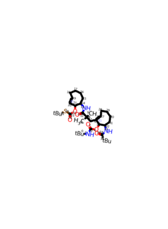 CC(C)(C)NC(=O)OC1/C(CC(C)(C)C(=O)NC2CCCC/C=C/C2OC(=O)SC(C)(C)C)=C/CCCCC1NC(=O)C(C)(C)C